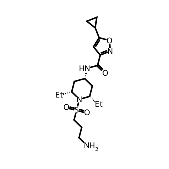 CC[C@@H]1C[C@H](NC(=O)c2cc(C3CC3)on2)C[C@H](CC)N1S(=O)(=O)CCCN